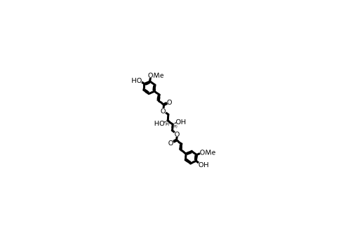 COc1cc(C=CC(=O)OC[C@@H](O)[C@H](O)COC(=O)C=Cc2ccc(O)c(OC)c2)ccc1O